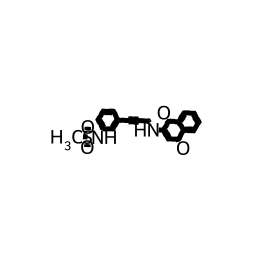 CS(=O)(=O)Nc1cccc(C#CCNC2=CC(=O)c3ccccc3C2=O)c1